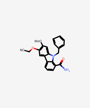 COc1cc2c(cc1OCC#N)c1cccc(C(N)=O)c1n2Cc1ccccc1